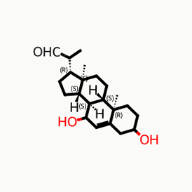 CC(C=O)[C@H]1CC[C@H]2[C@@H]3C(O)C=C4CC(O)CC[C@]4(C)[C@H]3CC[C@]12C